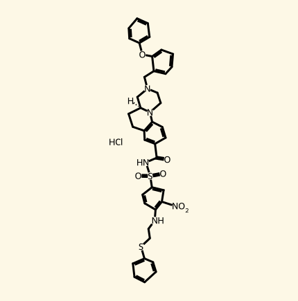 Cl.O=C(NS(=O)(=O)c1ccc(NCCSc2ccccc2)c([N+](=O)[O-])c1)c1ccc2c(c1)CC[C@H]1CN(Cc3ccccc3Oc3ccccc3)CCN21